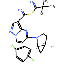 CC(C)(C)C(=N)SC(=N)c1cnn2ccc(N3CC[C@H]4C[C@]43c3cc(F)ccc3F)nc12